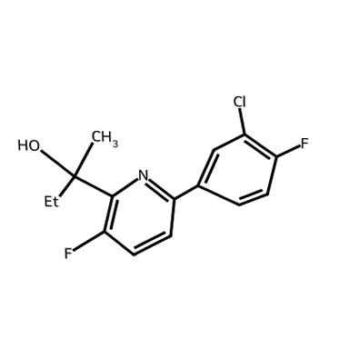 CCC(C)(O)c1nc(-c2ccc(F)c(Cl)c2)ccc1F